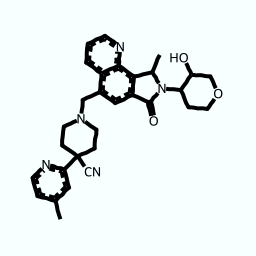 Cc1ccnc(C2(C#N)CCN(Cc3cc4c(c5ncccc35)C(C)N(C3CCOCC3O)C4=O)CC2)c1